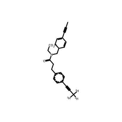 [2H]C([2H])([2H])C#Cc1ccc(CCC(=O)N(CC(=O)O)CC2C=CC(C#CC)=CC2)cc1